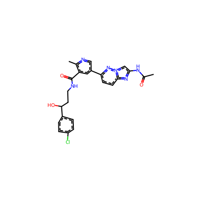 CC(=O)Nc1cn2nc(-c3cnc(C)c(C(=O)NCCC(O)c4ccc(Cl)cc4)c3)ccc2n1